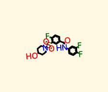 O=C(Nc1ccc(F)c(F)c1)c1ccc(F)c(S(=O)(=O)N2CCC(O)CC2)c1